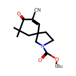 CC(C)(C)OC(=O)N1CCC2(C=C(C#N)C(=O)C(C)(C)C2)C1